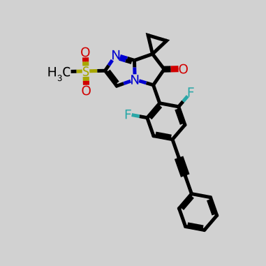 CS(=O)(=O)c1cn2c(n1)C1(CC1)C(=O)C2c1c(F)cc(C#Cc2ccccc2)cc1F